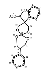 CC(=O)OC(OC(C)=O)C1(c2ccccc2)COC2(OCC(c3ccccc3)CO2)OC1